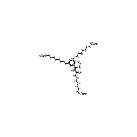 CCCCCCCCCCCCCCCCCCc1cc(CCCCCCCCCCCCCCCCCC)c(I=O)c(C(=O)NC(=O)CCCCCCCCCCCCCCCCC)c1